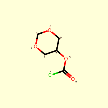 O=C(Cl)OC1COCOC1